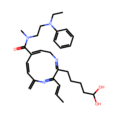 C=C1/C=C\C(C(=O)N(C)CCN(CC)c2ccccc2)=C/C/N=C(/CCCCC(O)O)C(/C=C/C)=N1